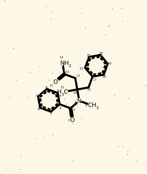 CN(C(=O)c1ccccc1)C(C)(CC(N)=O)Cc1ccccc1